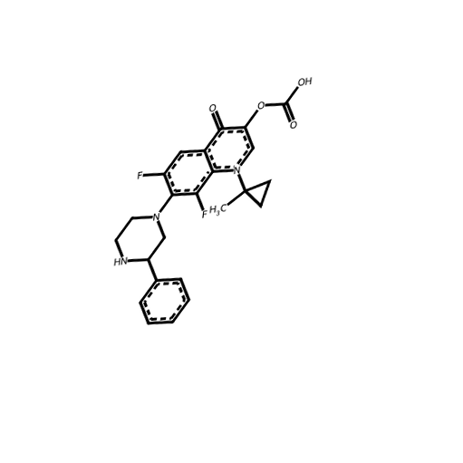 CC1(n2cc(OC(=O)O)c(=O)c3cc(F)c(N4CCNC(c5ccccc5)C4)c(F)c32)CC1